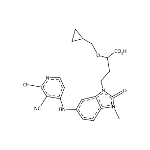 Cn1c(=O)n(CCC(OCC2CC2)C(=O)O)c2cc(Nc3ccnc(Cl)c3C#N)ccc21